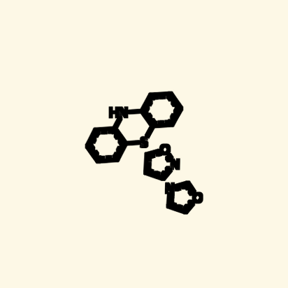 c1ccc2c(c1)Nc1ccccc1S2.c1cnoc1.c1cocn1